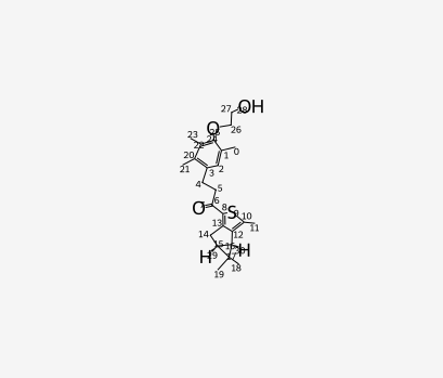 Cc1cc(CCC(=O)c2sc(C)c3c2C[C@@H]2[C@H]3C2(C)C)c(C)c(C)c1OCCO